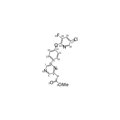 COC(=O)Cc1cncc(-c2ccc(Oc3ncc(Cl)cc3F)cc2)n1